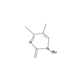 C=C1N=C(C)C(C)=CN1C(C)(C)C